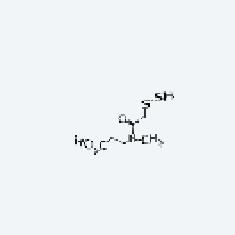 CN(CCC(=O)O)C(=O)CSS